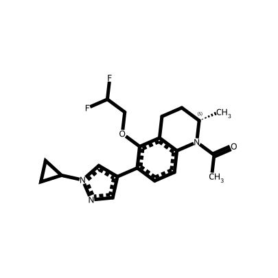 CC(=O)N1c2ccc(-c3cnn(C4CC4)c3)c(OCC(F)F)c2CC[C@@H]1C